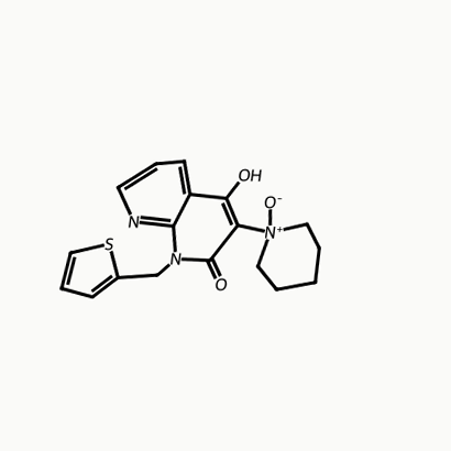 O=c1c([N+]2([O-])CCCCC2)c(O)c2cccnc2n1Cc1cccs1